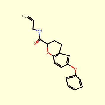 C=CCNC(=O)C1CCc2cc(Oc3ccccc3)ccc2O1